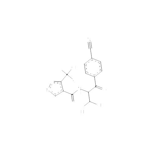 CC(C)C(NC(=O)c1cnoc1C(C)(C)C)C(=O)c1ccc(C#N)cc1